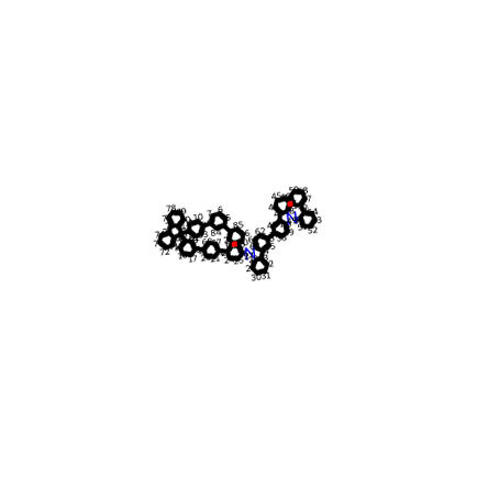 c1ccc(-c2cccc(-c3ccc(C4(c5cccc(-c6ccc(-c7ccc(-n8c9ccccc9c9cc(-c%10ccc%11c(c%10)c%10ccccc%10n%11-c%10ccccc%10-c%10ccccc%10)ccc98)cc7)cc6)c5)c5ccccc5-c5ccccc54)cc3)c2)cc1